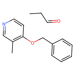 CCC=O.Cc1cnccc1OCc1ccccc1